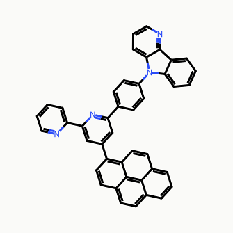 c1ccc(-c2cc(-c3ccc4ccc5cccc6ccc3c4c56)cc(-c3ccc(-n4c5ccccc5c5ncccc54)cc3)n2)nc1